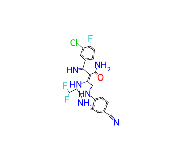 N#Cc1ccc(NC/C(NC(CN)C(F)F)=C(/C(=N)c2ccc(F)c(Cl)c2)C(N)=O)cc1